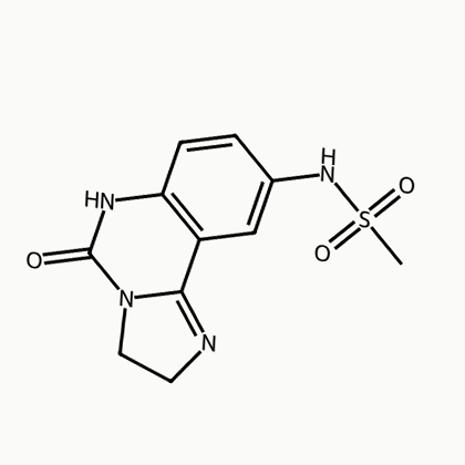 CS(=O)(=O)Nc1ccc2c(c1)C1=NCCN1C(=O)N2